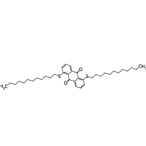 CCCCCCCCCCCCSc1cccc2c1C(=O)c1cccc(SCCCCCCCCCCCC)c1C2=O